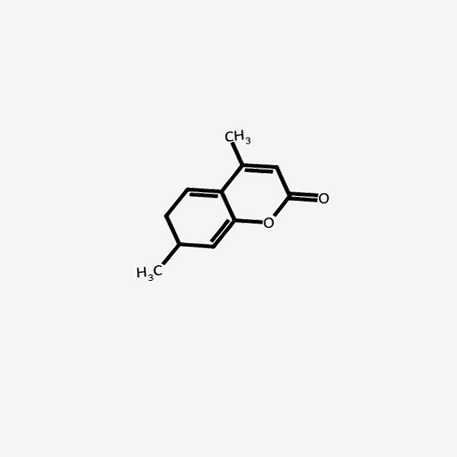 Cc1cc(=O)oc2c1=CCC(C)C=2